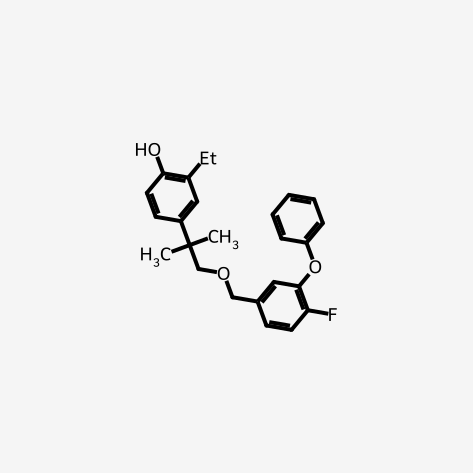 CCc1cc(C(C)(C)COCc2ccc(F)c(Oc3ccccc3)c2)ccc1O